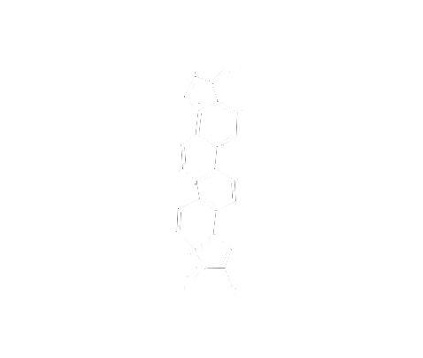 CCCCCCCCc1cc2c3ccc4c(ccc5c4ccc4c5ccn4C)c3ccc2n1C